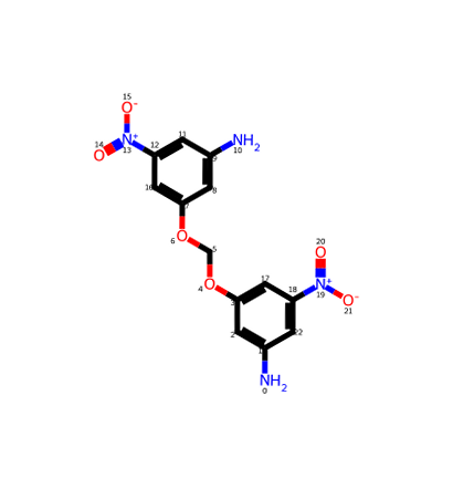 Nc1cc(OCOc2cc(N)cc([N+](=O)[O-])c2)cc([N+](=O)[O-])c1